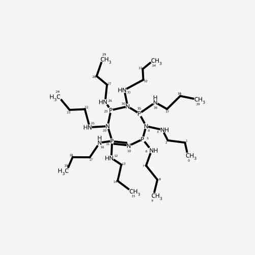 CCCNN1P(NCCC)N=P(NCCC)(NCCC)N(NCCC)P(NCCC)N(NCCC)P1NCCC